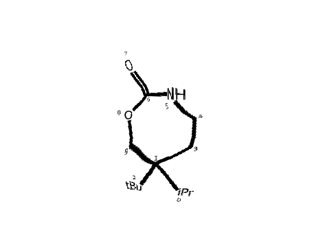 CC(C)C1(C(C)(C)C)CCNC(=O)OC1